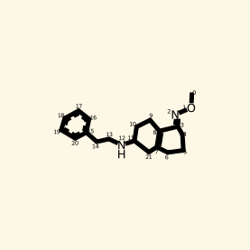 CON=C1CCCC2=C1CCC(NCCc1ccccc1)C2